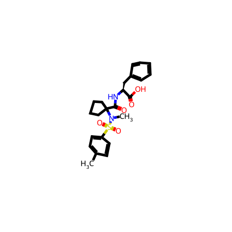 Cc1ccc(S(=O)(=O)N(C)C2(C(=O)N[C@@H](Cc3ccccc3)C(=O)O)CCCC2)cc1